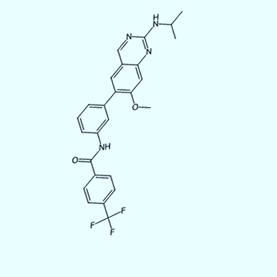 COc1cc2nc(NC(C)C)ncc2cc1-c1cccc(NC(=O)c2ccc(C(F)(F)F)cc2)c1